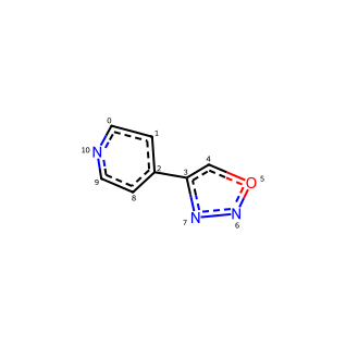 c1cc(-c2conn2)ccn1